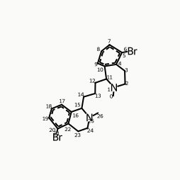 CN1CCc2c(Br)cccc2C1CCCC1c2cccc(Br)c2CCN1C